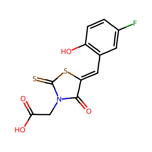 O=C(O)CN1C(=O)C(=Cc2cc(F)ccc2O)SC1=S